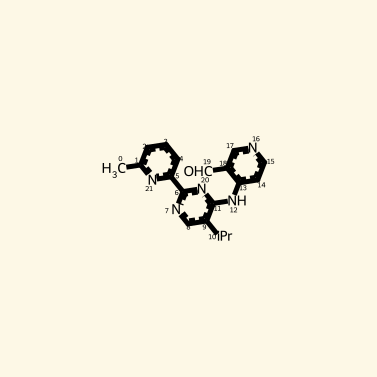 Cc1cccc(-c2ncc(C(C)C)c(Nc3ccncc3C=O)n2)n1